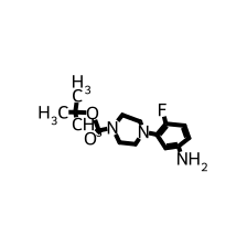 CC(C)(C)OC(=O)N1CCN(c2cc(N)ccc2F)CC1